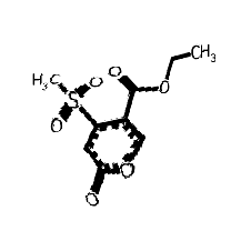 CCOC(=O)c1coc(=O)cc1S(C)(=O)=O